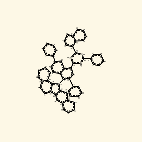 c1ccc(-c2ccc3c(-n4c5cc6ccccc6cc5c5ccc6ccccc6c54)c(-c4ccccc4)cc(-c4nc(-c5ccccc5)nc(-c5cccc6ccccc56)n4)c3c2)cc1